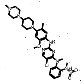 COc1cc(N2CCC(N3CCN(C)CC3)CC2)c(C)cc1Nc1ncc(Cl)c(N(C)c2ccccc2N(C)[SH](=O)=O)n1